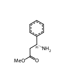 COC(=O)C[C@@H](N)c1ccccc1